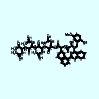 COc1ccc(O)c(CN(c2nc(-c3ccccc3)nc3ccccc23)C(O)C(=O)NC(C(=O)NC(NC(=N)N)C(=O)NC(NC(=N)N)C(=O)NC(NC(=N)N)C(=O)NC(NC(=N)N)C(N)=O)c2ccccc2)c1